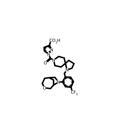 O=C(O)c1ccn(C(=O)N2CCC3(CCCN3Cc3ccc(C(F)(F)F)cc3N3CC4CCOCC3C4)CC2)n1